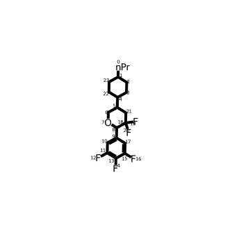 CCCC1CCC(C2COC(c3cc(F)c(F)c(F)c3)C(F)(F)C2)CC1